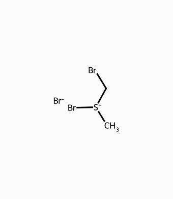 C[S+](Br)CBr.[Br-]